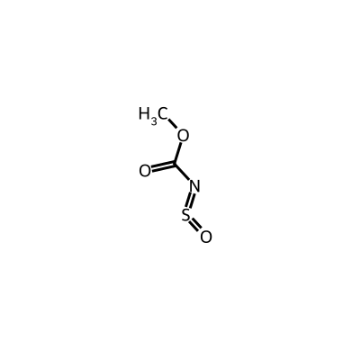 COC(=O)N=S=O